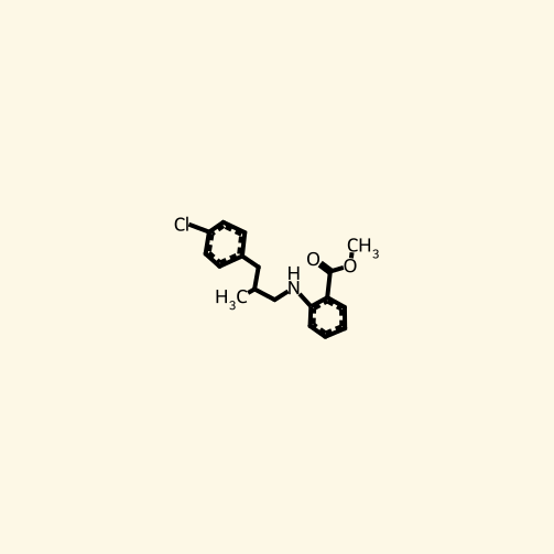 COC(=O)c1ccccc1NCC(C)Cc1ccc(Cl)cc1